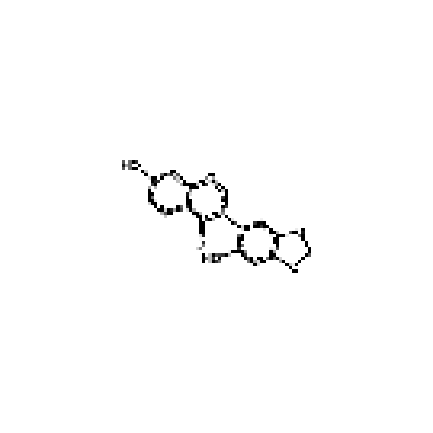 O=c1c(-c2cc3c(cc2O)OCO3)coc2cc(O)ccc12